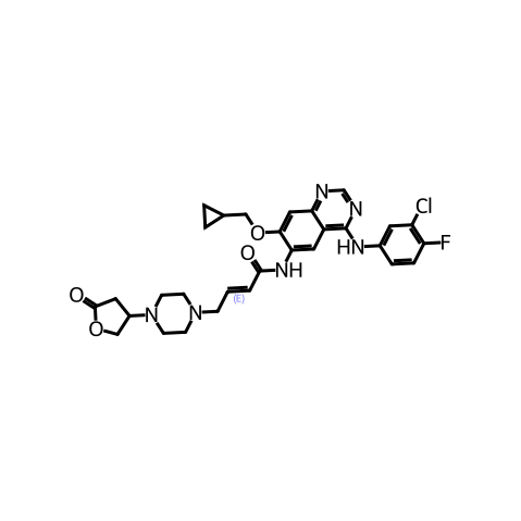 O=C(/C=C/CN1CCN(C2COC(=O)C2)CC1)Nc1cc2c(Nc3ccc(F)c(Cl)c3)ncnc2cc1OCC1CC1